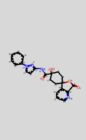 O=C1OC2(CCC(O)(C(=O)Nc3ccn(-c4ccccc4)n3)CC2)c2cccnc21